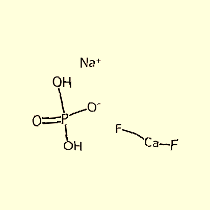 O=P([O-])(O)O.[F][Ca][F].[Na+]